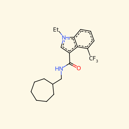 CCn1cc(C(=O)NCC2CCCCCC2)c2c(C(F)(F)F)cccc21